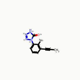 [3H]c1c(C#CC)cccc1-n1nn[nH]c1=O